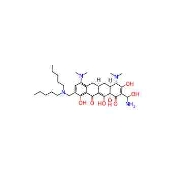 CCCCCN(CCCCC)Cc1cc(N(C)C)c2c(c1O)C(=O)C1=C(O)[C@]3(O)C(=O)C(C(N)O)=C(O)[C@@H](N(C)C)[C@@H]3C[C@@H]1C2